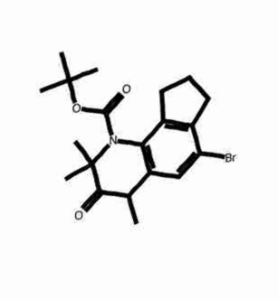 CC1C(=O)C(C)(C)N(C(=O)OC(C)(C)C)c2c1cc(Br)c1c2CCC1